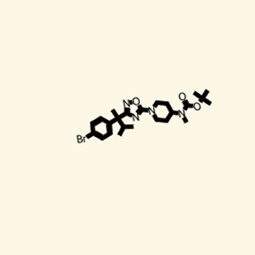 CC(C)C(C)(c1ccc(Br)cc1)c1noc(N2CCC(N(C)C(=O)OC(C)(C)C)CC2)n1